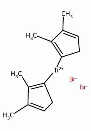 CC1=CC[C]([Ti+2][C]2=C(C)C(C)=CC2)=C1C.[Br-].[Br-]